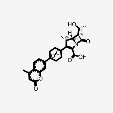 Cc1cc(=O)oc2cc(C34CCC(C5=C(C(=O)O)N6C(=O)[C@H]([C@@H](C)O)[C@H]6[C@H]5C)(CC3)CO4)ccc12